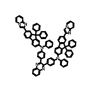 c1ccc(N(c2ccc(-c3nc4ccccc4nc3-c3ccc(N(c4ccccc4)c4ccc5c(c4)C(c4ccccc4)(c4ccccc4)c4cc(-c6cn7ccccc7n6)ccc4-5)cc3)cc2)c2ccc3c(c2)C(c2ccccc2)(c2ccccc2)c2cc(-c4cn5ccccc5n4)ccc2-3)cc1